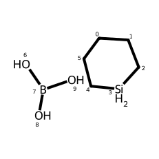 C1CC[SiH2]CC1.OB(O)O